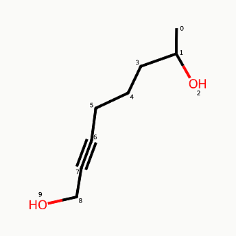 CC(O)CCCC#CCO